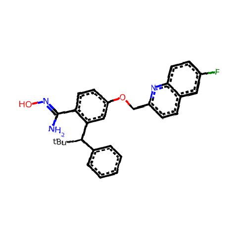 CC(C)(C)C(c1ccccc1)c1cc(OCc2ccc3cc(F)ccc3n2)ccc1/C(N)=N/O